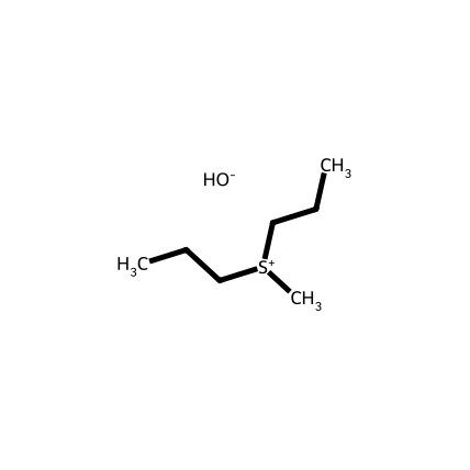 CCC[S+](C)CCC.[OH-]